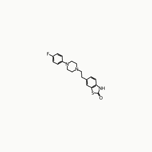 O=c1[nH]c2ccc(CCN3CCN(c4ccc(F)cc4)CC3)cc2s1